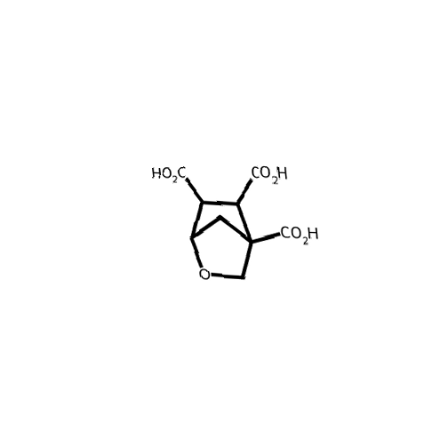 O=C(O)C1C2CC(C(=O)O)(CO2)C1C(=O)O